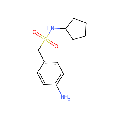 Nc1ccc(CS(=O)(=O)NC2CCCC2)cc1